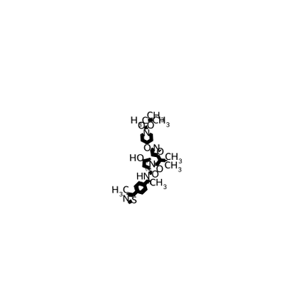 Cc1ncsc1-c1ccc([C@H](C)NC(=O)[C@@H]2C[C@@H](O)CN2C(=O)C(c2cc(OC3CCN(C(=O)OC(C)(C)C)CC3)no2)C(C)C)cc1